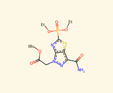 CCOP(=O)(OCC)c1nc2c(s1)c(C(N)=O)nn2CC(=O)OC(C)(C)C